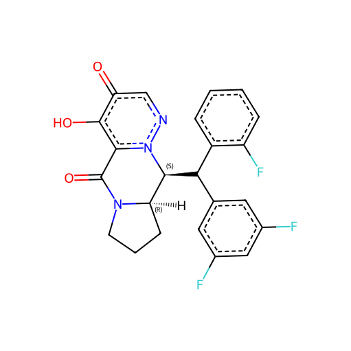 O=C1c2c(O)c(=O)cnn2[C@@H](C(c2cc(F)cc(F)c2)c2ccccc2F)[C@H]2CCCN12